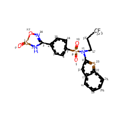 O=S1NC(c2ccc(S(=O)(=O)N(CCC(F)(F)F)c3cc4ccccc4s3)cc2)=NO1